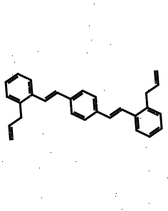 C=CCc1ccccc1/C=C/c1ccc(/C=C/c2ccccc2CC=C)cc1